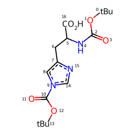 CC(C)(C)OC(=O)NC(Cc1cn(C(=O)OC(C)(C)C)cn1)C(=O)O